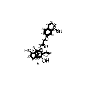 C=C[C@]1(C)C[C@@H](OC(=O)COc2ccc3c(c2)B(O)OCC3)[C@]2(C)[C@H](C)CC[C@]3(CCC(O)[C@H]32)[C@@H](C)[C@@H]1O